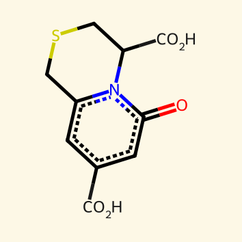 O=C(O)c1cc2n(c(=O)c1)C(C(=O)O)CSC2